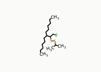 CCCCCCC(CCCCCC)C(CF)SSC(C)C